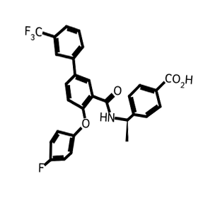 C[C@@H](NC(=O)c1cc(-c2cccc(C(F)(F)F)c2)ccc1Oc1ccc(F)cc1)c1ccc(C(=O)O)cc1